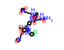 COc1cc2c(cc1OCCCN1CCOCC1)c(Nc1ccc(F)c(Cl)c1)nc[n+]2Cc1ccc(NC(=O)[C@H](CCCNC(N)=O)NC(=O)C2(C(=O)NCCCCCN3C(=O)C=CC3=O)CCC2)cc1